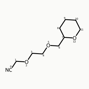 N#CCOCCOCC1CCCCO1